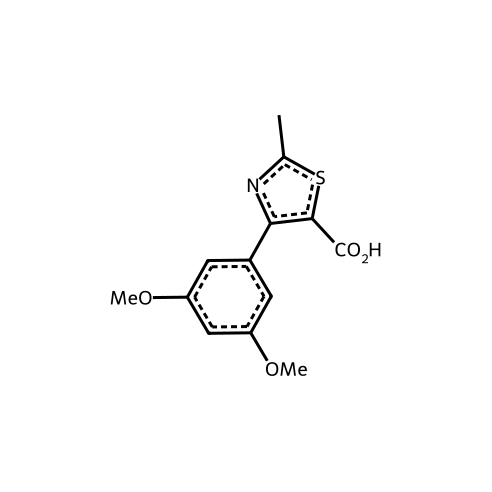 COc1cc(OC)cc(-c2nc(C)sc2C(=O)O)c1